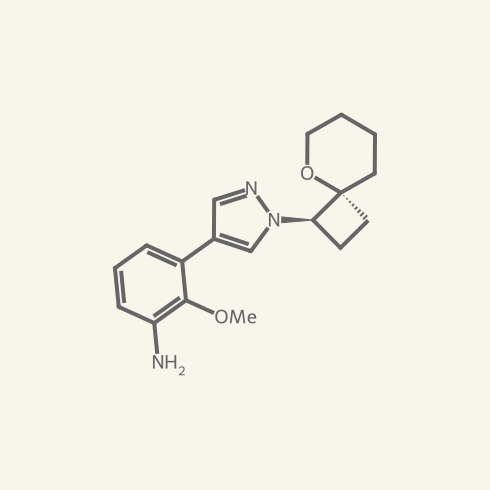 COc1c(N)cccc1-c1cnn([C@@H]2CC[C@]23CCCCO3)c1